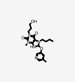 CCCCN1c2c(n(C)c(=O)n(CCCO)c2=O)NC1Oc1cncc(C)c1